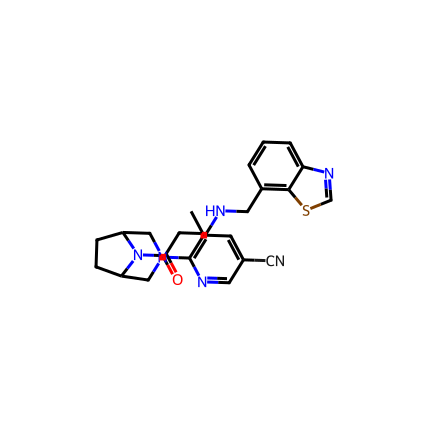 Cc1cc(C#N)cnc1N1CC2CCC(C1)N2C(=O)CCNCc1cccc2ncsc12